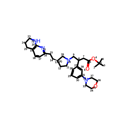 CC(C)(C)OC(=O)CC(CN1CC[C@@H](CCc2ccc3c(n2)NCCC3)C1)c1cccc(N2CCOCC2)c1